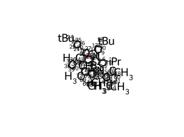 CC(C)c1cc2c3c(c1)N(c1ccc(C(C)(C)C)cc1-c1cccc(-c4ccc(C(C)(C)C)cc4)c1)c1ccc(C(C)(C)c4ccccc4)cc1B3c1cc3c(cc1N2c1ccc2c(c1)C(C)(C)CCC2(C)C)C(C)(C)CCC3(C)C